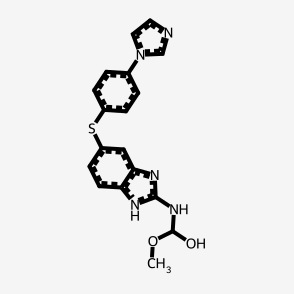 COC(O)Nc1nc2cc(Sc3ccc(-n4ccnc4)cc3)ccc2[nH]1